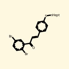 CCCCCCCSc1ccc(/C=C/C(=O)c2cc(Br)ccc2Br)cc1